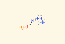 CC(C)NC(C)C.CC(C)NC(C)C.N#CCCOP